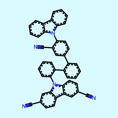 N#Cc1ccc2c(c1)c1ccc(C#N)cc1n2-c1ccccc1-c1ccccc1-c1ccc(-n2c3ccccc3c3ccccc32)c(C#N)c1